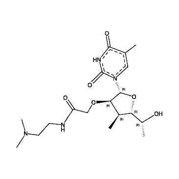 Cc1cn([C@@H]2O[C@H]([C@@H](C)O)[C@@H](C)[C@H]2OCC(=O)NCCN(C)C)c(=O)[nH]c1=O